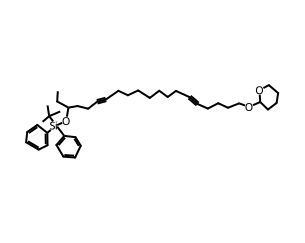 CCC(CCC#CCCCCCCCC#CCCCCOC1CCCCO1)O[Si](c1ccccc1)(c1ccccc1)C(C)(C)C